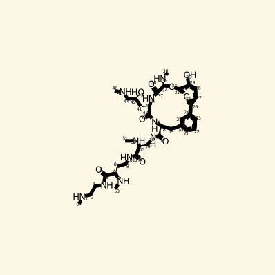 CNCCNC(=O)[C@H](CCNC(=O)[C@H](CNC(=O)[C@@H]1Cc2cccc(c2)-c2ccc(O)c(c2)C[C@H](NC)C(=O)N[C@@H](C[C@@H](O)CNC)C(=O)N1)NC)NC